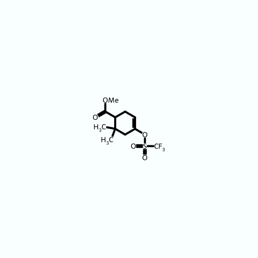 COC(=O)C1CC=C(OS(=O)(=O)C(F)(F)F)CC1(C)C